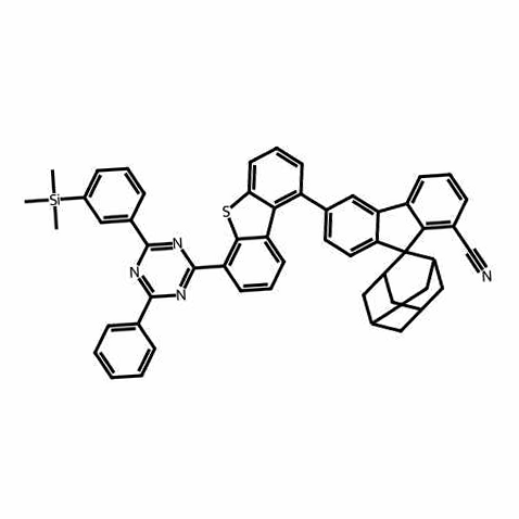 C[Si](C)(C)c1cccc(-c2nc(-c3ccccc3)nc(-c3cccc4c3sc3cccc(-c5ccc6c(c5)-c5cccc(C#N)c5C65C6CC7CC(C6)CC5C7)c34)n2)c1